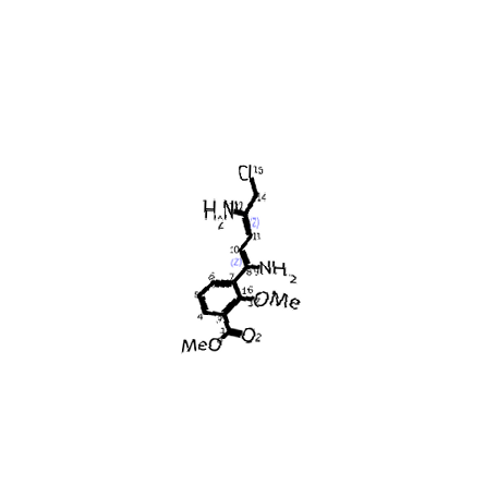 COC(=O)c1cccc(/C(N)=C/C=C(\N)CCl)c1OC